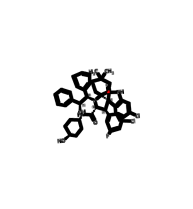 CC1(C)CCC2(CC1)N([C@H](c1ccccc1)[C@@H](O)c1ccccc1)[C@@H](C(=O)N[C@H]1CC[C@H](O)CC1)[C@H](c1cc(F)cc(Cl)c1)[C@]21C(=O)Nc2cc(Cl)ccc21